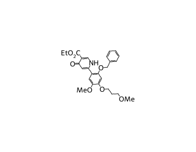 CCOC(=O)c1c[nH]c(-c2cc(OC)c(OCCCOC)cc2OCc2ccccc2)cc1=O